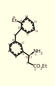 CCOC(=O)C[C@H](N)c1cccc(Cc2ccccc2CC)c1